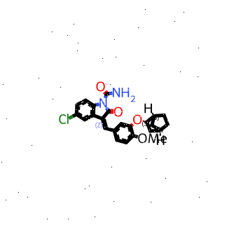 COc1ccc(/C=C2\C(=O)N(C(N)=O)c3ccc(Cl)cc32)cc1O[C@H]1C[C@@H]2CC[C@H]1C2